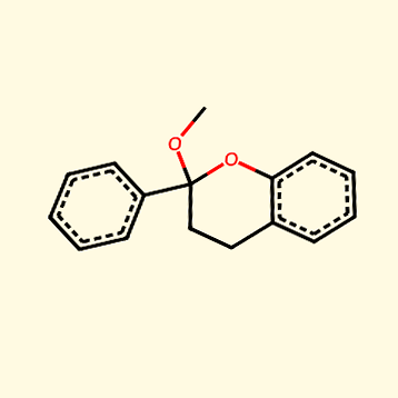 COC1(c2ccccc2)CCc2ccccc2O1